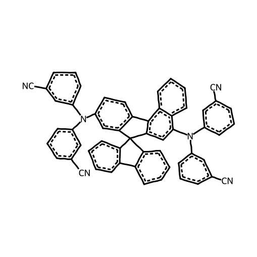 N#Cc1cccc(N(c2cccc(C#N)c2)c2ccc3c(c2)C2(c4ccccc4-c4ccccc42)c2cc(N(c4cccc(C#N)c4)c4cccc(C#N)c4)c4ccccc4c2-3)c1